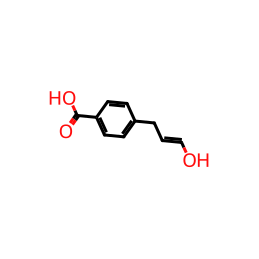 O=C(O)c1ccc(CC=CO)cc1